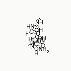 C=CN(C)[C@@H]1C(O)=C(C(N)=O)C(=O)[C@@]2(O)C(O)=C3C(=O)c4c(O)c(NC(=O)CNCC(C)C)cc(F)c4C[C@H]3C[C@@H]12